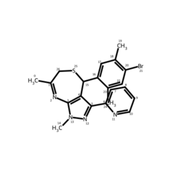 CC1=Nc2c(c(-c3ccccn3)nn2C)C(c2cc(C)c(Br)cc2C)SC1